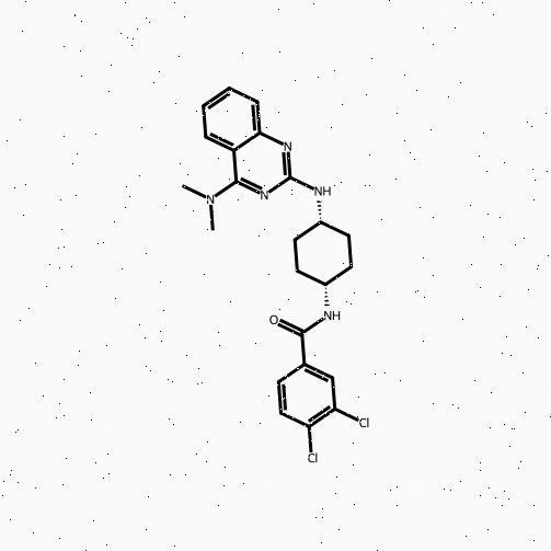 CN(C)c1nc(N[C@H]2CC[C@@H](NC(=O)c3ccc(Cl)c(Cl)c3)CC2)nc2ccccc12